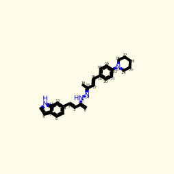 C=C(/C=C/c1ccc2cc[nH]c2c1)N/N=C(C)/C=C/c1ccc(N2CCCCC2)cc1